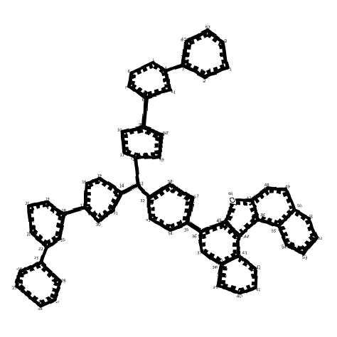 c1ccc(-c2cccc(-c3ccc(C(c4ccc(-c5cccc(-c6ccccc6)c5)cc4)c4ccc(-c5cc6ccccc6c6c5oc5ccc7ccccc7c56)cc4)cc3)c2)cc1